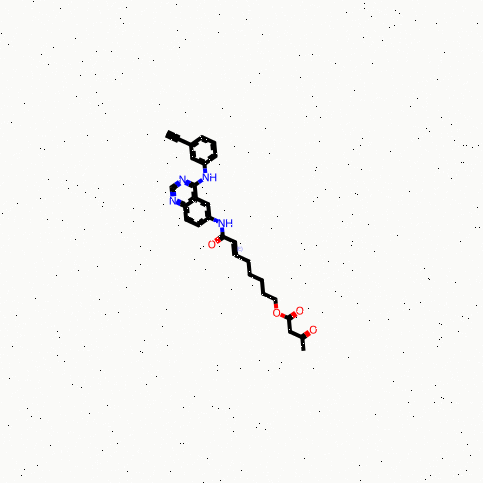 C#Cc1cccc(Nc2ncnc3ccc(NC(=O)/C=C/CCCCCOC(=O)CC(C)=O)cc23)c1